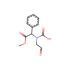 COC(=O)C(c1ccccc1)N(CC=O)C(=O)O